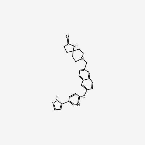 O=C1CCC2(CCN(Cc3ccc4cc(Oc5ccc(-c6ccn[nH]6)cn5)ccc4n3)CC2)N1